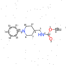 CC(C)(C)OC(=O)NCC1CCN(c2ccccc2)CC1